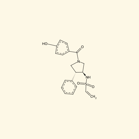 C=CS(=O)(=O)N[C@@H]1CN(C(=O)c2ccc(O)cc2)C[C@H]1c1ccccc1